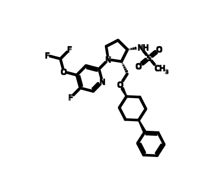 CS(=O)(=O)N[C@H]1CCN(c2cc(OC(F)F)c(F)cn2)[C@H]1CO[C@H]1CC[C@@H](c2ccccc2)CC1